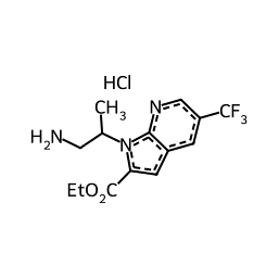 CCOC(=O)c1cc2cc(C(F)(F)F)cnc2n1C(C)CN.Cl